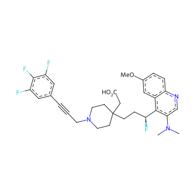 COc1ccc2ncc(N(C)C)c([C@@H](F)CCC3(CC(=O)O)CCN(CC#Cc4cc(F)c(F)c(F)c4)CC3)c2c1